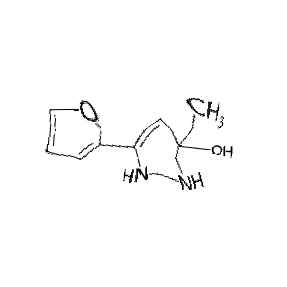 CC1(O)C=C(c2ccco2)NN1